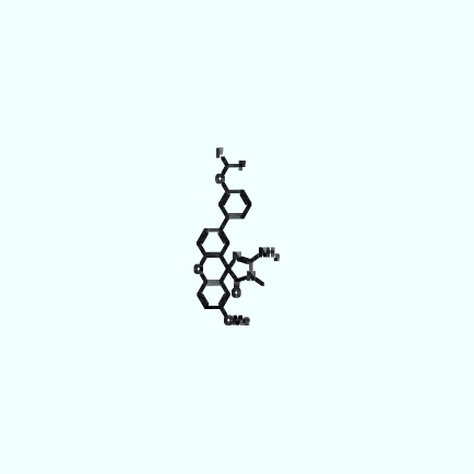 COc1ccc2c(c1)C1(N=C(N)N(C)C1=O)c1cc(-c3cccc(OC(F)F)c3)ccc1O2